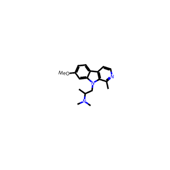 COc1ccc2c3ccnc(C)c3n(CC(C)N(C)C)c2c1